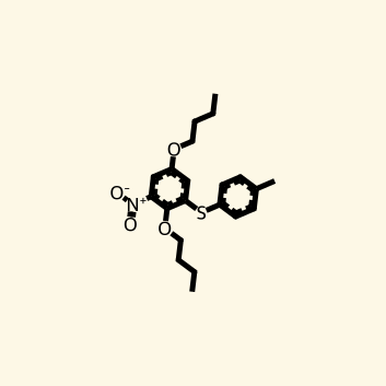 CCCCOc1cc(Sc2ccc(C)cc2)c(OCCCC)c([N+](=O)[O-])c1